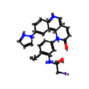 Cc1ccc(-n2c(=O)ccc3cnc4ccc(-n5cccn5)cc4c32)cc1NC(=O)CI